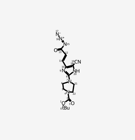 CC(C)(C)OC(=O)N1CCN(c2nc(/C=C/C(=O)N=[N+]=[N-])c(C#N)[nH]2)CC1